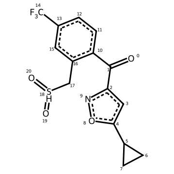 O=C(c1cc(C2CC2)on1)c1ccc(C(F)(F)F)cc1C[SH](=O)=O